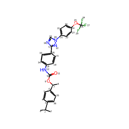 CC(C)c1ccc(C(C)OC(=O)Nc2ccc(-c3ncn(-c4ccc(OC(F)(F)F)cc4)n3)cc2)cc1